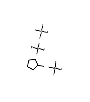 CC1CCCC1.F[B-](F)(F)F.F[B-](F)(F)F.F[B-](F)(F)F